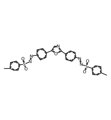 Cc1ccc(S(=O)(=O)N=Nc2ccc(-c3cnc(-c4ccc(N=NS(=O)(=O)c5ccc(C)cc5)cc4)o3)cc2)cc1